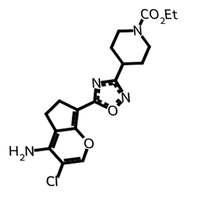 CCOC(=O)N1CCC(c2noc(C3=C4OC=C(Cl)C(N)=C4CC3)n2)CC1